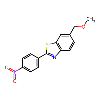 COCc1ccc2nc(-c3ccc(I(=O)=O)cc3)sc2c1